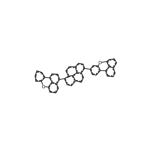 c1ccc2c(c1)Oc1cccc3c(-c4ccc5ccc6c(-c7ccc8c(c7)Oc7cccc9cccc-8c79)ccc7ccc4c5c76)ccc-2c13